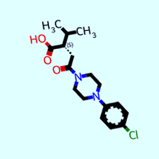 CC(C)[C@H](CC(=O)N1CCN(c2ccc(Cl)cc2)CC1)C(=O)O